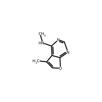 CNc1ncnc2occ(C)c12